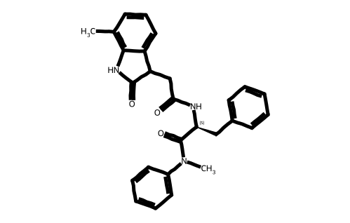 Cc1cccc2c1NC(=O)C2CC(=O)N[C@@H](Cc1ccccc1)C(=O)N(C)c1ccccc1